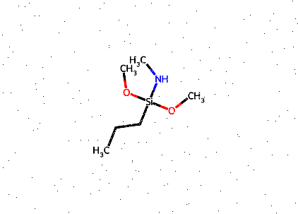 CCC[Si](NC)(OC)OC